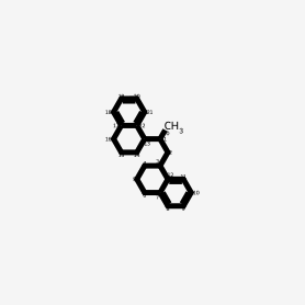 CC(CC1CCCc2ccccc21)C1CCCc2ccccc21